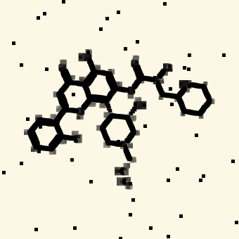 CCN(CC1CCCCN1)C(=O)Oc1cc(O)c2c(=O)cc(-c3ccccc3Cl)oc2c1[C@H]1CCN(C)C[C@H]1O.Cl.Cl